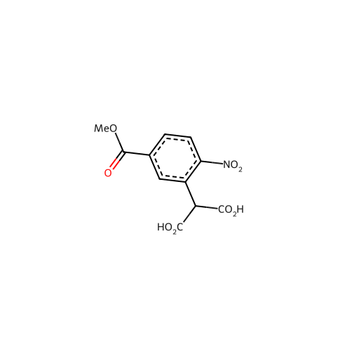 COC(=O)c1ccc([N+](=O)[O-])c(C(C(=O)O)C(=O)O)c1